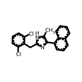 Cc1[nH]c(Cc2c(Cl)cccc2Cl)nc1-c1cccc2ccccc12